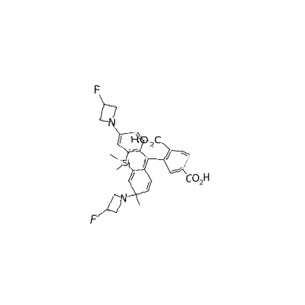 CC1(N2CC(F)C2)C=CC2=C(c3cc(C(=O)O)ccc3C(=O)O)c3ccc(N4CC(F)C4)cc3[Si](C)(C)C2=C1